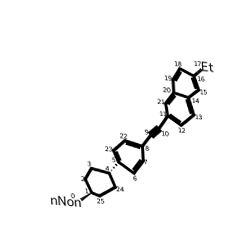 CCCCCCCCC[C@H]1CC[C@H](c2ccc(C#Cc3ccc4cc(CC)ccc4c3)cc2)CC1